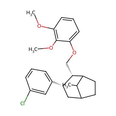 COc1cccc(OC[C@@H]2C3CCC(C[C@@H]2c2cccc(Cl)c2)C3C)c1OC